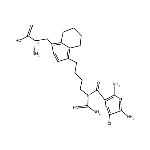 N=C(N)N(CCCCc1ccc(C[C@H](N)C(=O)O)c2c1CCCC2)C(=O)c1nc(Cl)c(N)nc1N